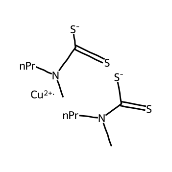 CCCN(C)C(=S)[S-].CCCN(C)C(=S)[S-].[Cu+2]